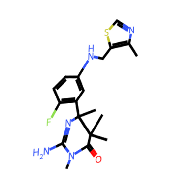 Cc1ncsc1CNc1ccc(F)c(C2(C)N=C(N)N(C)C(=O)C2(C)C)c1